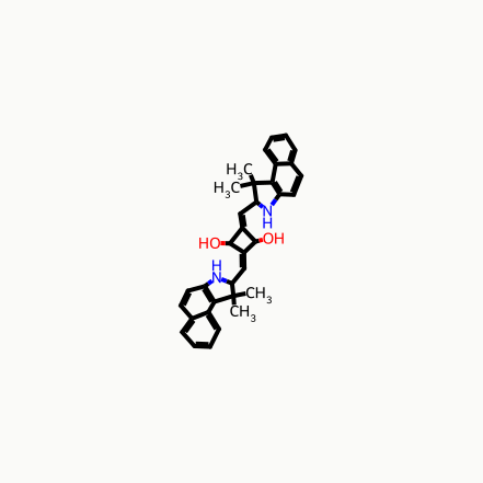 CC1(C)c2c(ccc3ccccc23)NC1C=C1C(O)C(=CC2Nc3ccc4ccccc4c3C2(C)C)C1O